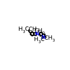 C=C1c2cc(CC(C)C)ccc2CN1c1ccc2cc(C)n(C)c2c1